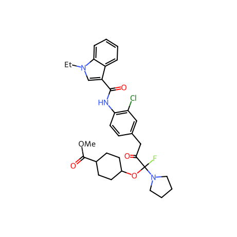 CCn1cc(C(=O)Nc2ccc(CC(=O)C(F)(OC3CCC(C(=O)OC)CC3)N3CCCC3)cc2Cl)c2ccccc21